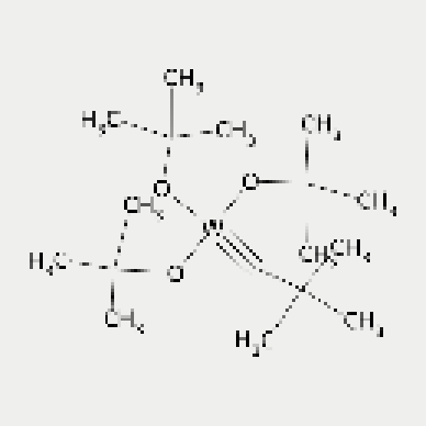 CC(C)(C)[C]#[W]([O]C(C)(C)C)([O]C(C)(C)C)[O]C(C)(C)C